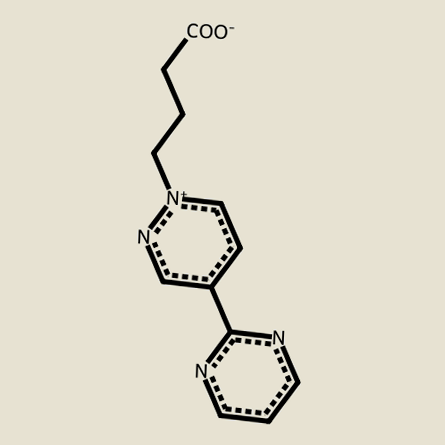 O=C([O-])CCC[n+]1ccc(-c2ncccn2)cn1